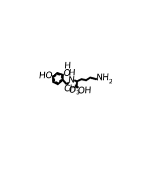 CC(NC(CCCCN)C(=O)O)c1ccc(O)cc1O